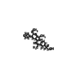 COc1nc2c(C)[nH]c(N[C@H](C)c3cccc(C(F)(F)CO)c3F)c2cc1N1C2COCC1C2